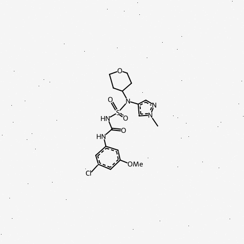 COc1cc(Cl)cc(NC(=O)NS(=O)(=O)N(c2cnn(C)c2)C2CCOCC2)c1